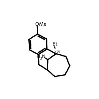 CC[C@@]12CCCCC(Cc3ccc(OC)cc31)C2N